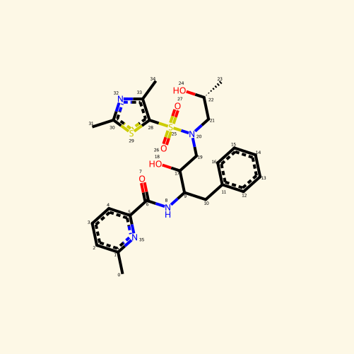 Cc1cccc(C(=O)NC(Cc2ccccc2)C(O)CN(C[C@@H](C)O)S(=O)(=O)c2sc(C)nc2C)n1